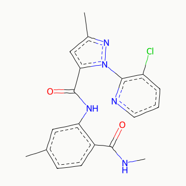 CNC(=O)c1ccc(C)cc1NC(=O)c1cc(C)nn1-c1ncccc1Cl